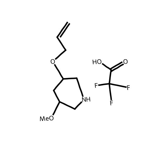 C=CCOC1CNCC(OC)C1.O=C(O)C(F)(F)F